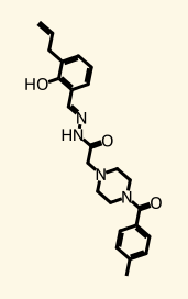 C=CCc1cccc(/C=N/NC(=O)CN2CCN(C(=O)c3ccc(C)cc3)CC2)c1O